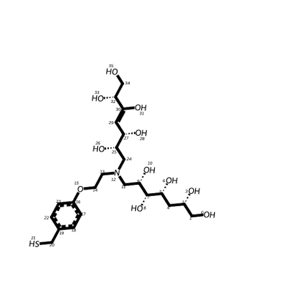 OC[C@@H](O)C[C@@H](O)[C@H](O)[C@@H](O)CN(CCOc1ccc(CS)cc1)C[C@H](O)[C@@H](O)C=C(O)[C@H](O)CO